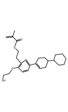 C=C(C)C(=O)OCCc1cc(C2=CCC(C3CCCCC3)CC2)ccc1OCCO